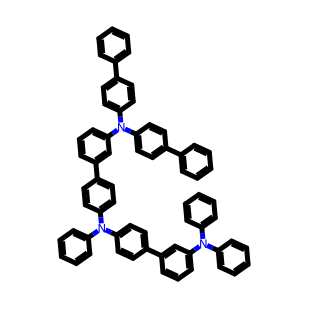 c1ccc(-c2ccc(N(c3ccc(-c4ccccc4)cc3)c3cccc(-c4ccc(N(c5ccccc5)c5ccc(-c6cccc(N(c7ccccc7)c7ccccc7)c6)cc5)cc4)c3)cc2)cc1